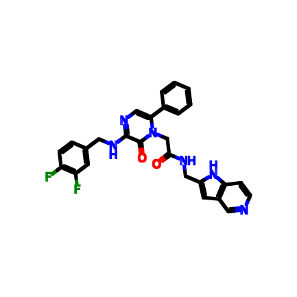 O=C(Cn1c(-c2ccccc2)cnc(NCc2ccc(F)c(F)c2)c1=O)NCc1cc2cnccc2[nH]1